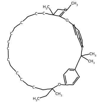 CCCC1(C)CCCCCCCCCCCCCCCC(C)(CC)Oc2ccc(cc2)C(C)(C)c2ccc(cc2)OC1=O